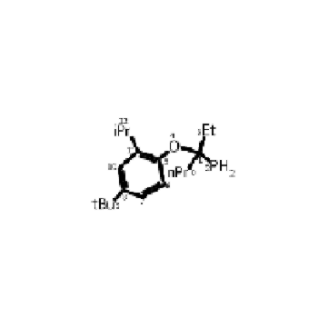 CCCC(P)(CC)Oc1ccc(C(C)(C)C)cc1C(C)C